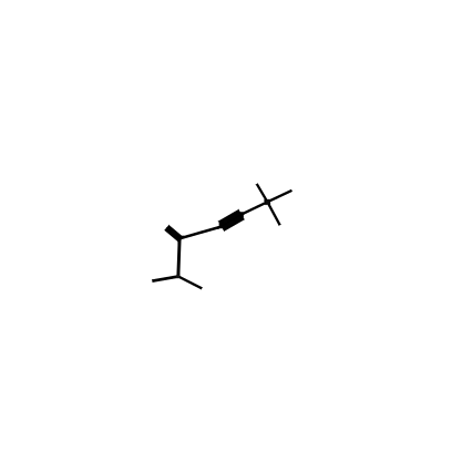 CC(C)C(=O)C#CC(O)(F)F